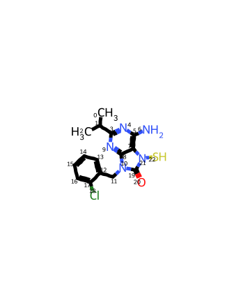 CC(C)c1nc(N)c2c(n1)n(Cc1ccccc1Cl)c(=O)n2S